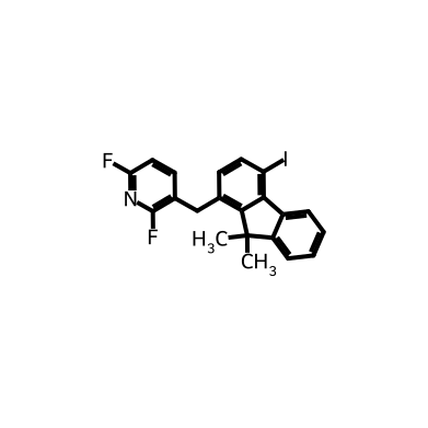 CC1(C)c2ccccc2-c2c(I)ccc(Cc3ccc(F)nc3F)c21